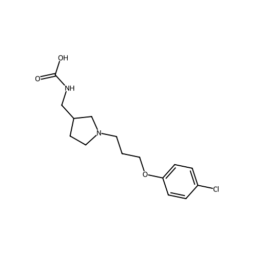 O=C(O)NCC1CCN(CCCOc2ccc(Cl)cc2)C1